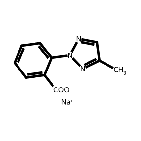 Cc1cnn(-c2ccccc2C(=O)[O-])n1.[Na+]